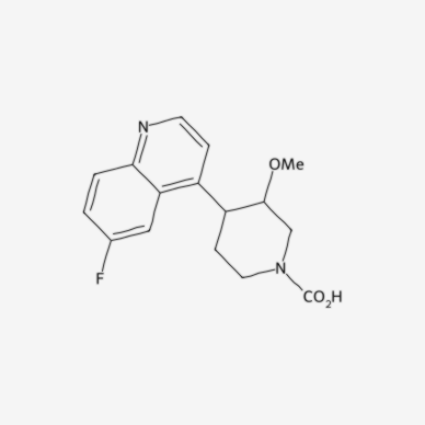 COC1CN(C(=O)O)CCC1c1ccnc2ccc(F)cc12